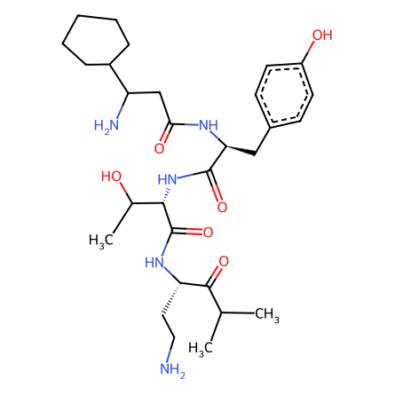 CC(C)C(=O)[C@H](CCN)NC(=O)[C@@H](NC(=O)[C@H](Cc1ccc(O)cc1)NC(=O)CC(N)C1CCCCC1)C(C)O